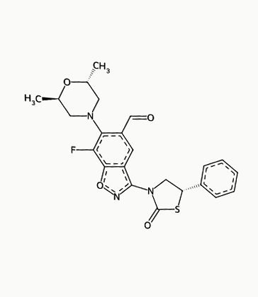 C[C@@H]1CN(c2c(C=O)cc3c(N4C[C@H](c5ccccc5)SC4=O)noc3c2F)C[C@@H](C)O1